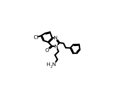 NCCCn1c(CCc2ccccc2)nc2ccc(Cl)cc2c1=O